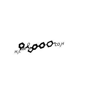 Cc1ccccc1NC(=O)N1CCc2cc(-c3ccc([C@H]4CC[C@H](CC(=O)O)CC4)cc3)ccc21